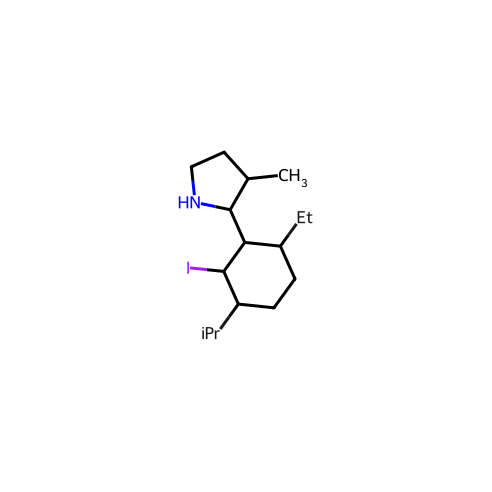 CCC1CCC(C(C)C)C(I)C1C1NCCC1C